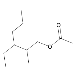 CCCC(CC)C(C)COC(C)=O